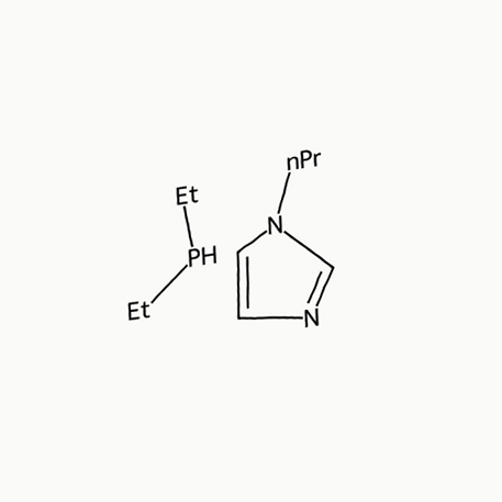 CCCn1ccnc1.CCPCC